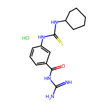 Cl.N=C(N)NC(=O)c1cccc(NC(=S)NC2CCCCC2)c1